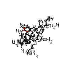 C=CC[C@H](NC(=O)[C@H](CCCCN)N(C)C(=O)[C@H](CCCCN)NC(=O)[C@H](C)N)C(=O)N[C@@H](Cc1ccc(O)cc1)C(=O)N[C@@H](CC(C)C)C(=O)O